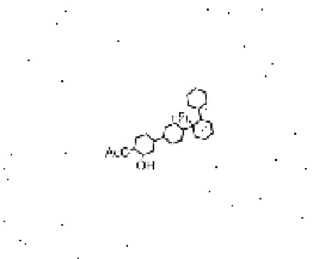 CCCC1(C2CCC(C3CCC(OC(C)=O)C(O)C3)CC2)CCCCC1C1CCCCC1